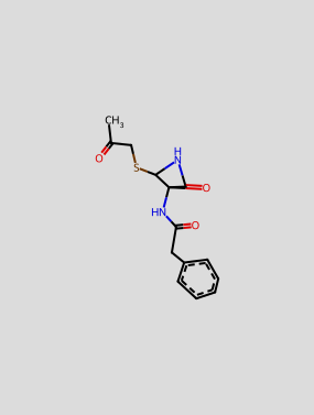 CC(=O)CSC1NC(=O)C1NC(=O)Cc1ccccc1